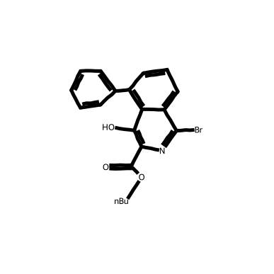 CCCCOC(=O)c1nc(Br)c2cccc(-c3ccccc3)c2c1O